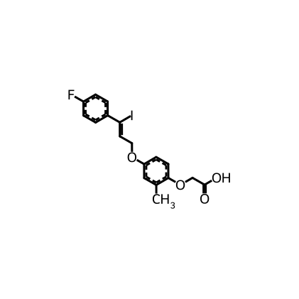 Cc1cc(OC/C=C(\I)c2ccc(F)cc2)ccc1OCC(=O)O